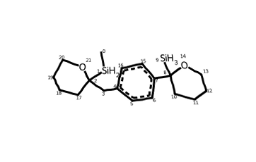 C[SiH2]C1(Cc2ccc(C3([SiH3])CCCCO3)cc2)CCCCO1